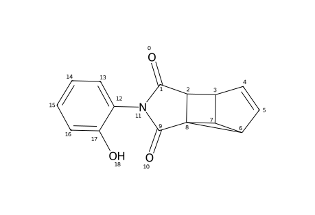 O=C1C2C3C=CC4C3C42C(=O)N1c1ccccc1O